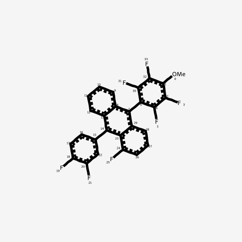 COc1c(F)c(F)c(-c2c3ccccc3c(-c3ccc(F)c(F)c3)c3c(F)cccc23)c(F)c1F